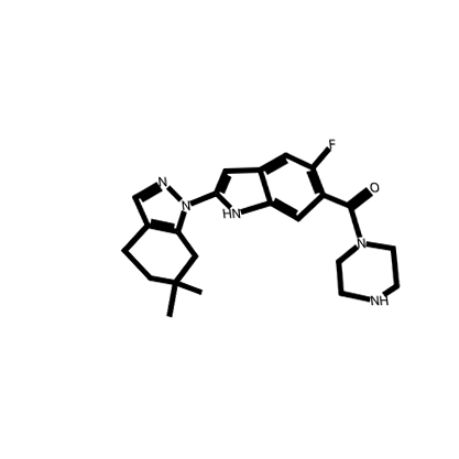 CC1(C)CCc2cnn(-c3cc4cc(F)c(C(=O)N5CCNCC5)cc4[nH]3)c2C1